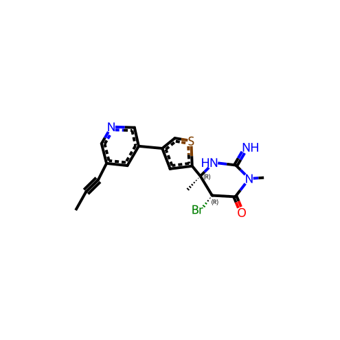 CC#Cc1cncc(-c2csc([C@@]3(C)NC(=N)N(C)C(=O)[C@@H]3Br)c2)c1